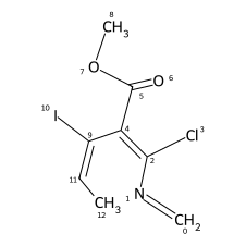 C=N/C(Cl)=C(C(=O)OC)\C(I)=C/C